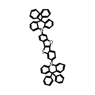 c1ccc(C2(c3ccccc3)c3ccccc3N(c3ccc4c(c3)oc3c5ccc(N6c7ccccc7C(c7ccccc7)(c7ccccc7)c7ccccc76)cc5sc43)c3ccccc32)cc1